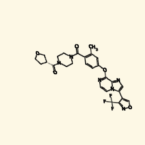 Cc1cc(Oc2nccn3c(-c4conc4C(F)(F)F)cnc23)ccc1C(=O)N1CCN(C(=O)[C@@H]2CCOC2)CC1